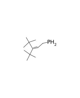 CC(C)(C)C(=CCP)C(C)(C)C